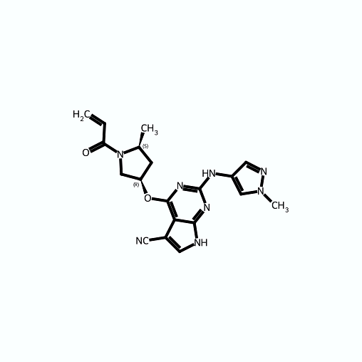 C=CC(=O)N1C[C@H](Oc2nc(Nc3cnn(C)c3)nc3[nH]cc(C#N)c23)C[C@@H]1C